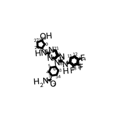 NC(=O)[C@H]1CC[C@@H](n2c(Nc3ccc(F)c(F)c3F)nc3cnc(N[C@@H]4CC[C@@H](O)C4)nc32)CC1